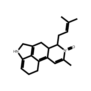 CC(C)=CCC1C2CC3=C4C(=CCCC4=C2C=C(C)[N+]1=O)NC3